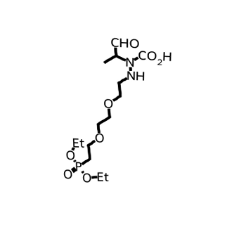 CCOP(=O)(CCOCCOCCNN(C(=O)O)C(C)C=O)OCC